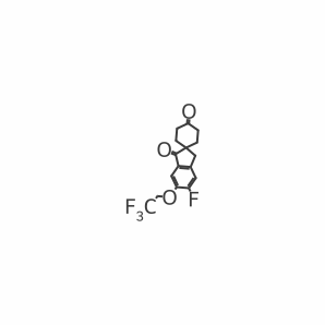 O=C1CCC2(CC1)Cc1cc(F)c(OCC(F)(F)F)cc1C2=O